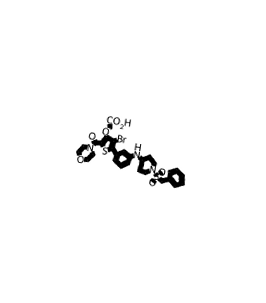 O=C(O)COc1c(C(=O)N2CCOCC2)sc(-c2cccc(NC3CCN(S(=O)(=O)Cc4ccccc4)CC3)c2)c1Br